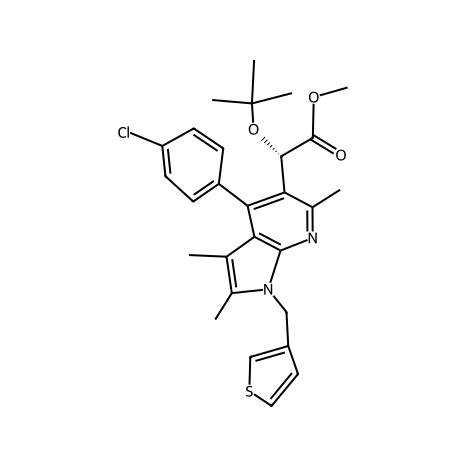 COC(=O)[C@@H](OC(C)(C)C)c1c(C)nc2c(c(C)c(C)n2Cc2ccsc2)c1-c1ccc(Cl)cc1